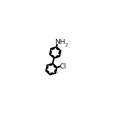 Nc1ccc(-c2ccc[c]c2Cl)cc1